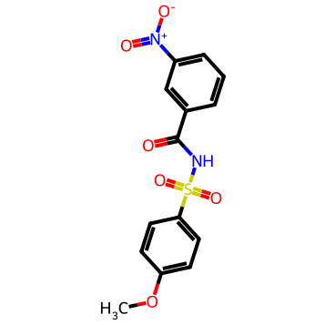 COc1ccc(S(=O)(=O)NC(=O)c2cccc([N+](=O)[O-])c2)cc1